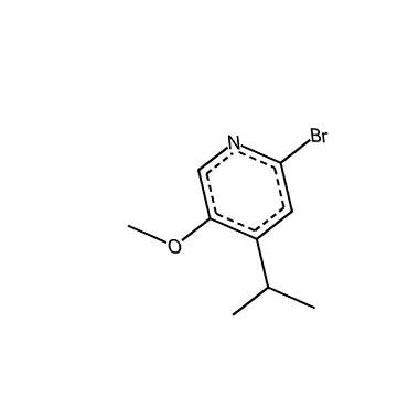 COc1cnc(Br)cc1C(C)C